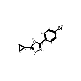 Brc1ccc(-c2nnc(C3CC3)o2)cc1